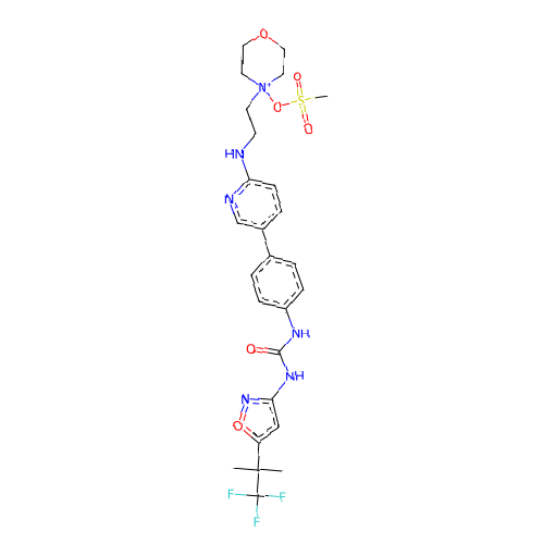 CC(C)(c1cc(NC(=O)Nc2ccc(-c3ccc(NCC[N+]4(OS(C)(=O)=O)CCOCC4)nc3)cc2)no1)C(F)(F)F